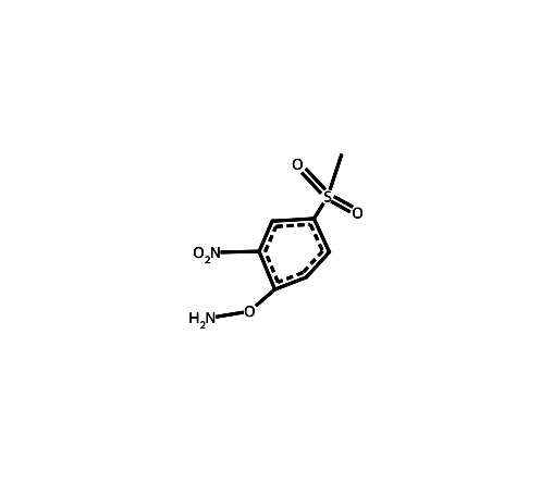 CS(=O)(=O)c1ccc(ON)c([N+](=O)[O-])c1